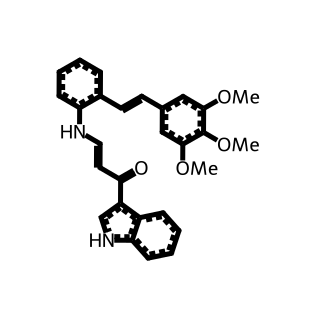 COc1cc(C=Cc2ccccc2NC=CC(=O)c2c[nH]c3ccccc23)cc(OC)c1OC